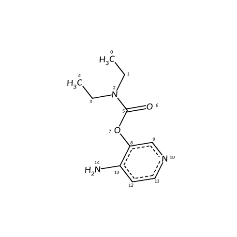 CCN(CC)C(=O)Oc1cnccc1N